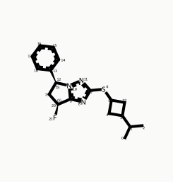 CC(C)C1CC(Sc2nc3n(n2)[C@H](c2ccccc2)C[C@@H]3F)C1